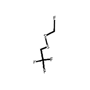 FCSSCC(F)(F)F